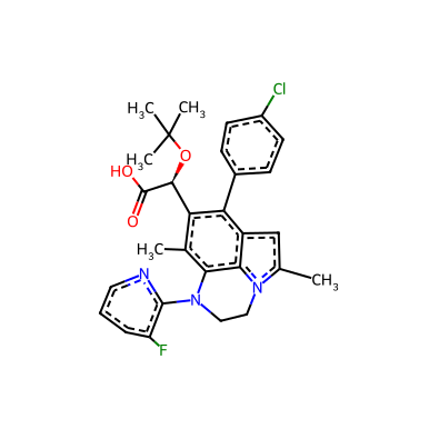 Cc1c([C@H](OC(C)(C)C)C(=O)O)c(-c2ccc(Cl)cc2)c2cc(C)n3c2c1N(c1ncccc1F)CC3